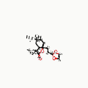 CCC1CC(C)(C)CCC1(CCC1OCCO1)OC(C)=O